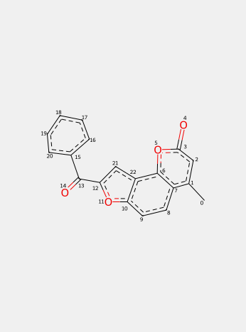 Cc1cc(=O)oc2c1ccc1oc(C(=O)c3ccccc3)cc12